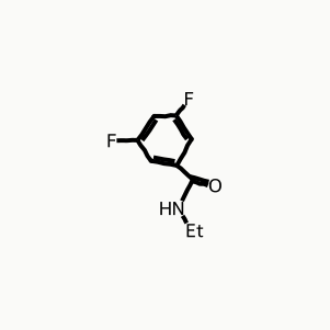 CCNC(=O)c1cc(F)cc(F)c1